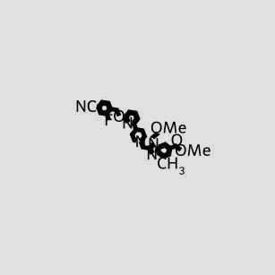 COCCn1c(CN2CCC(c3cccc(OCc4ccc(C#N)cc4F)n3)CC2)nc2c(C)cc(C(=O)OC)cc21